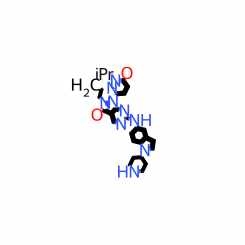 C=CCn1c(=O)c2cnc(Nc3ccc4c(ccn4C4CCNCC4)c3)nc2n1-c1ccc(=O)n(C(C)C)n1